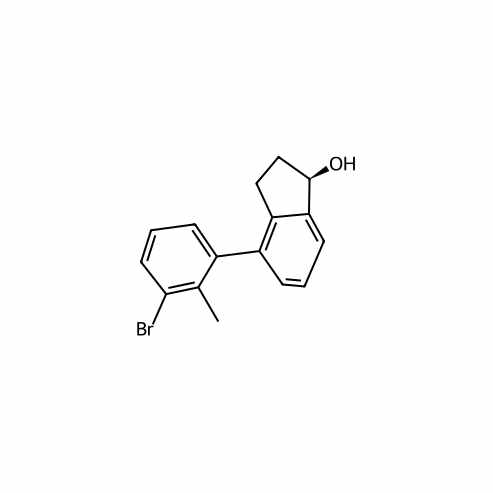 Cc1c(Br)cccc1-c1cccc2c1CC[C@H]2O